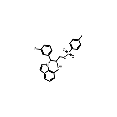 Cc1ccc(S(=O)(=O)OC[C@@H](O)[C@H](c2cccc(F)c2)n2ccc3cccc(C)c32)cc1